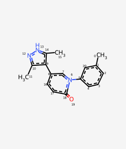 Cc1cccc(-n2cc(-c3c(C)n[nH]c3C)ccc2=O)c1